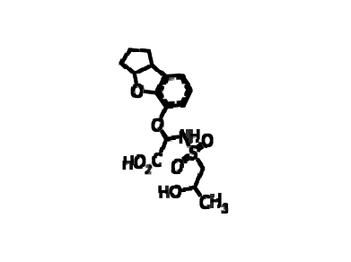 CC(O)CS(=O)(=O)NC(Oc1cccc2c1OC1CCCC21)C(=O)O